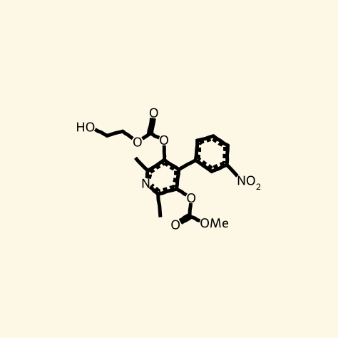 COC(=O)Oc1c(C)nc(C)c(OC(=O)OCCO)c1-c1cccc([N+](=O)[O-])c1